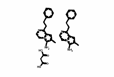 Cc1cc2c(CCc3ccccc3)nccn2c1N.Cc1cc2c(CCc3ccccc3)nccn2c1N.O=C(O)CC(=O)O